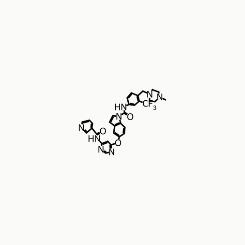 CN1CCN(Cc2ccc(NC(=O)n3ccc4cc(Oc5cc(NC(=O)c6cccnc6)ncn5)ccc43)cc2C(F)(F)F)CC1